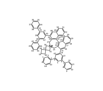 c1ccc(-c2cc(-c3ccccc3)cc(-c3cc4ccccc4c4c3C[N+]3(Cc5c(-c6cc(-c7ccccc7)cc(-c7ccccc7)c6)cc6ccccc6c5-4)CC4(CCC4)C3)c2)cc1